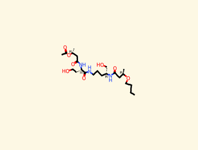 CCCCO[C@H](C)CC(=O)N[C@@H](CO)CCCNC(=O)[C@H](CCO)NC(=O)C[C@@H](C)OC(C)=O